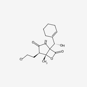 C[C@]12OC(=O)C1([C@@H](O)C1=CCCCC1)NC(=O)[C@@H]2CCCl